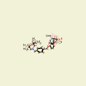 BC(O)(C=O)C(B)(B)C(B)(C(=O)NC)N(C=O)Cc1c(C)cccc1OCc1ccc(CN2CC(C)(C)OC(C)(C)C2)cc1F